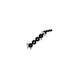 CCCCCC1COC(c2ccc(C3=CCC(C4CCC(c5cc(F)c(F)c(F)c5)CC4)CC3)c(F)c2)OC1